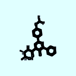 C[C@H](O)[C@H](C)NC(=O)c1cc(-c2ccc(OC(F)F)cc2)nn(-c2cccnc2)c1=O